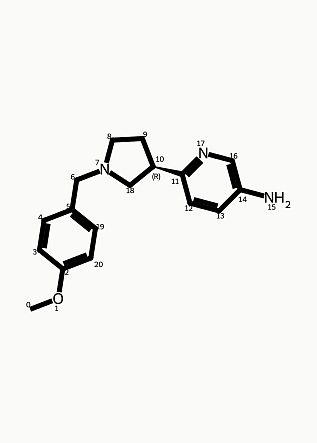 COc1ccc(CN2CC[C@@H](c3ccc(N)cn3)C2)cc1